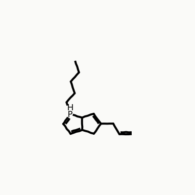 C=CCC1=CC2C(=CC=[PH]2CCCCC)C1